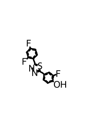 Oc1ccc(-c2nnc(-c3ccc(F)cc3F)s2)cc1F